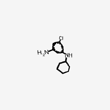 Nc1cc(Cl)cc(NC2CCCCC2)c1